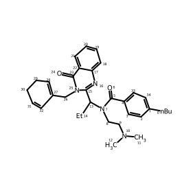 CCCCc1ccc(C(=O)N(CCN(C)C)C(CC)c2nc3ccccc3c(=O)n2CC2=CCCC=C2)cc1